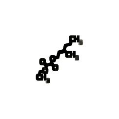 CCC/C(C)=C/COC(=O)C(=O)OCC